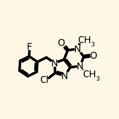 Cn1c(=O)c2c(nc(Cl)n2Cc2ccccc2F)n(C)c1=O